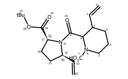 C=CC1CCCN(C(=O)O)C1C(=O)N1[C@@H](C=C)CC[C@H]1C(=O)OC(C)(C)C